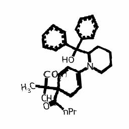 CCCC(=O)C1(C(C)(C)C(=O)O)C=CC(N2CCCCC2C(O)(c2ccccc2)c2ccccc2)=CC1